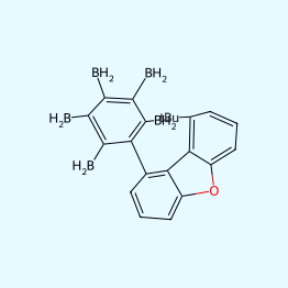 Bc1c(B)c(B)c(-c2cccc3oc4cccc(C(C)(C)C)c4c23)c(B)c1B